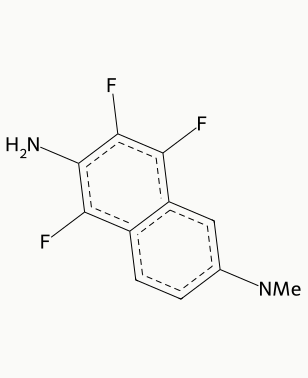 CNc1ccc2c(F)c(N)c(F)c(F)c2c1